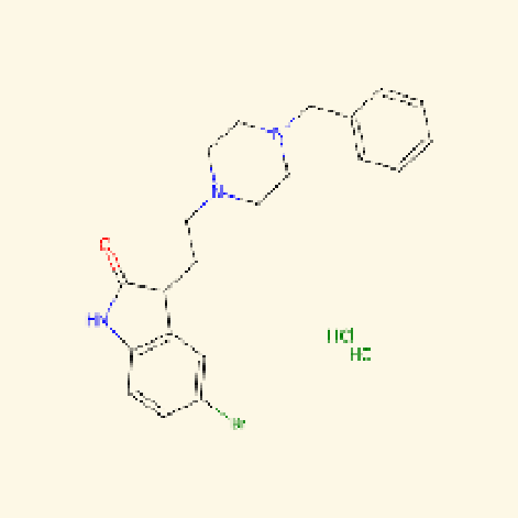 Cl.Cl.O=C1Nc2ccc(Br)cc2C1CCN1CCN(Cc2ccccc2)CC1